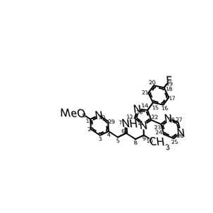 COc1ccc(CC(=N)CC(C)n2cnc(-c3ccc(F)cc3)c2-c2ccncn2)cn1